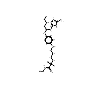 CCCCC(Oc1ccc(OCCCCC(C)(C)C(=O)OCC)cc1)Sc1nnc(N)s1